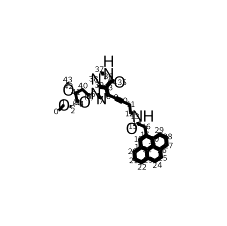 COC[C@H]1O[C@@H](n2nc(C#CCCNC(=O)Cc3cc4cccc5ccc6cccc3c6c54)c3c(=O)[nH]cnc32)CC1OC